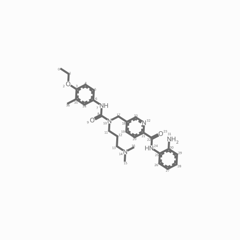 CCOc1ccc(NC(=O)N(CCCN(C)C)Cc2ccc(C(=O)Nc3ccccc3N)nc2)cc1C